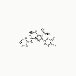 NC(=O)c1c(-c2ccc(F)c(Cl)c2)nn2c1CNC[C@@H]2CN1CCOCC1